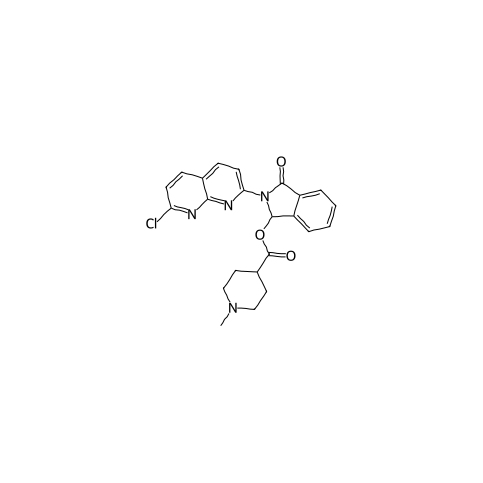 CN1CCC(C(=O)OC2c3ccccc3C(=O)N2c2ccc3ccc(Cl)nc3n2)CC1